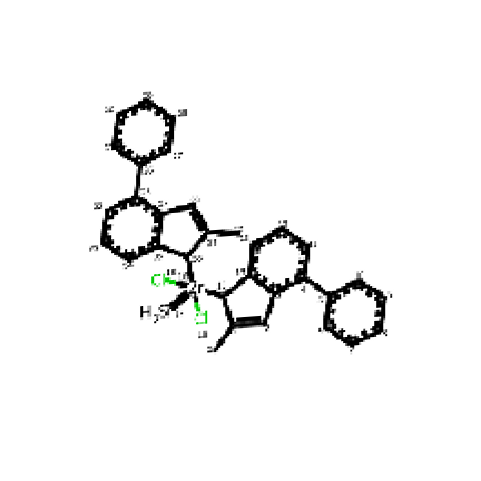 CC1=Cc2c(-c3ccccc3)cccc2[CH]1[Zr](=[SiH2])([Cl])([Cl])[CH]1C(C)=Cc2c(-c3ccccc3)cccc21